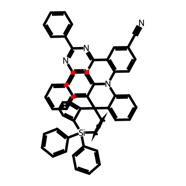 N#Cc1ccc(N2c3ccccc3C3(c4ccccc42)c2ccccc2[Si](c2ccccc2)(c2ccccc2)c2ccccc23)c(-c2nc(-c3ccccc3)nc(-c3ccccc3)n2)c1